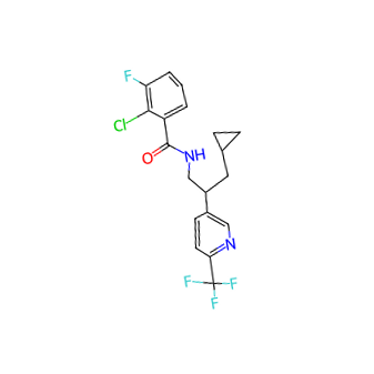 O=C(NCC(CC1CC1)c1ccc(C(F)(F)F)nc1)c1cccc(F)c1Cl